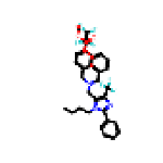 CCCCn1c(-c2ccccc2)nc(C(F)(F)F)c1CN(Cc1ccc(C(=O)OC)cc1)Cc1cccc(OC(F)(F)C(F)F)c1